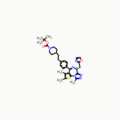 Cc1sc2c(c1C)C(c1ccc(CCC3CCN(C(=O)OC(C)(C)C)CC3)cc1)=N[C@@H](Cc1ncco1)c1nnc(C)n1-2